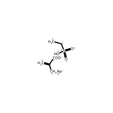 C=C(C)C(=O)[O-].CCS(=O)(=O)O.[Na+]